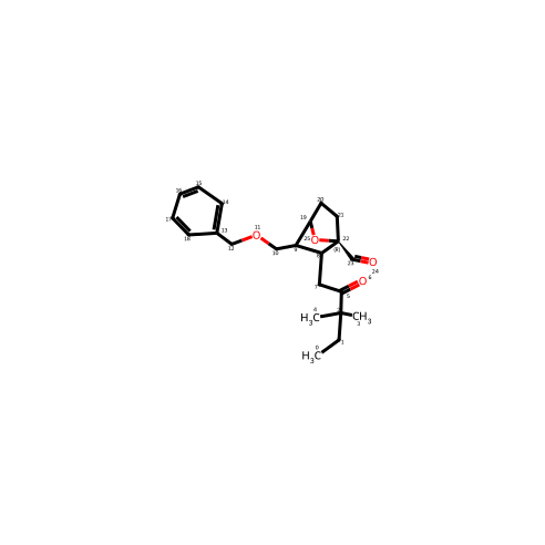 CCC(C)(C)C(=O)CC1C(COCc2ccccc2)C2CC[C@@]1(C=O)O2